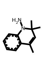 CC1=CC(C)(C)N(N)c2ccccc21